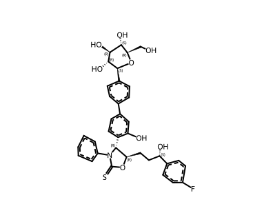 OC[C@H]1O[C@@H](c2ccc(-c3ccc([C@@H]4[C@@H](CC[C@H](O)c5ccc(F)cc5)OC(=S)N4c4ccccc4)c(O)c3)cc2)[C@H](O)[C@@H](O)[C@@H]1O